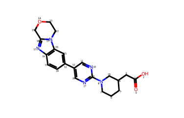 O=C(O)CC1CCCN(c2ncc(-c3ccc4nc5n(c4c3)CCOC5)cn2)C1